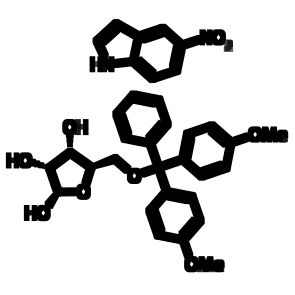 COc1ccc(C(OC[C@H]2O[C@@H](O)[C@H](O)[C@@H]2O)(c2ccccc2)c2ccc(OC)cc2)cc1.O=[N+]([O-])c1ccc2[nH]ccc2c1